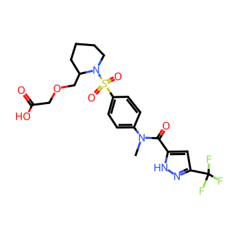 CN(C(=O)c1cc(C(F)(F)F)n[nH]1)c1ccc(S(=O)(=O)N2CCCCC2COCC(=O)O)cc1